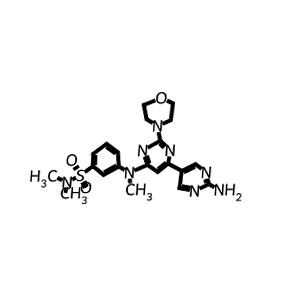 CN(c1cccc(S(=O)(=O)N(C)C)c1)c1cc(-c2cnc(N)nc2)nc(N2CCOCC2)n1